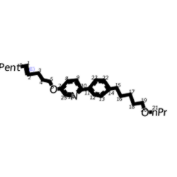 CCCCC/C=C/CCCOc1ccc(-c2ccc(CCCCCOCCC)cc2)nc1